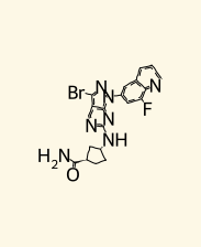 NC(=O)[C@@H]1CC[C@@H](Nc2ncc3c(Br)nn(-c4cc(F)c5ncccc5c4)c3n2)C1